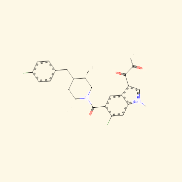 CCOC(=O)n1cc(C(=O)C(=O)C(C)C)c2cc(C(=O)N3C[C@H](C)C(Cc4ccc(F)cc4)C[C@H]3C)c(Cl)cc21